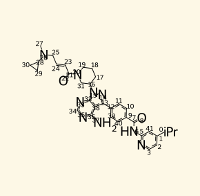 CC(C)c1ccnc(NC(=O)c2ccc(-c3nn(C4CCCN(C(=O)C=CCN(C)C5CC5)C4)c4ncnc(N)c34)cc2)c1